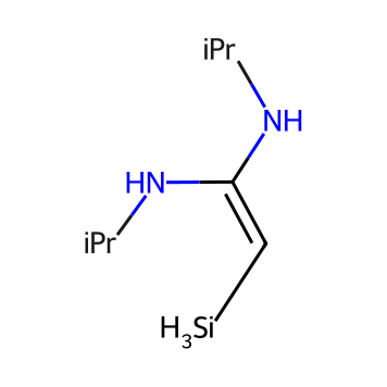 CC(C)NC(=C[SiH3])NC(C)C